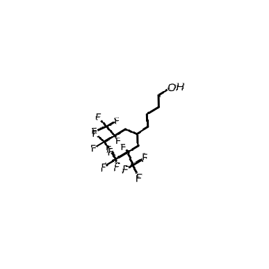 OCCCCC(CC(F)(C(F)(F)F)C(F)(F)F)CC(F)(C(F)(F)F)C(F)(F)F